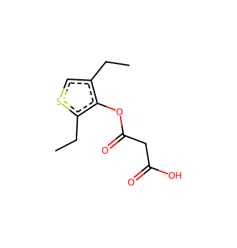 CCc1csc(CC)c1OC(=O)CC(=O)O